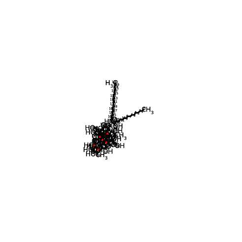 CCCCCCCCCCCCC/C=C/[C@@H](O)[C@H](CO[C@@H]1OC(CO)[C@@H](O[C@@H]2OC(CO)[C@H](O)[C@H](O[C@@H]3OC(CO)[C@@H](O[C@H]4OC(C)[C@@H](O)C(O)[C@@H]4O)[C@H](O[C@@H]4OC(CO)[C@H](O)[C@H](O[C@@H]5OC(CO)[C@@H](O)[C@H](O[C@H]6OC(C)[C@@H](O)C(O)[C@@H]6O)C5NC(C)=O)C4O)C3NC(C)=O)C2O)[C@H](O)C1O)NC(=O)CCCCCCCCCCCCCCCCC